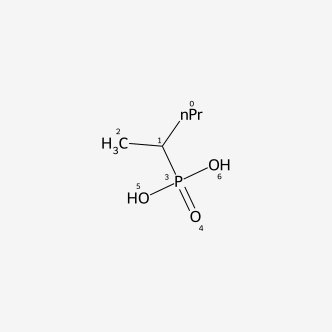 CCCC(C)P(=O)(O)O